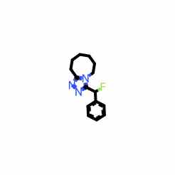 FC(c1ccccc1)c1nnc2n1CCCCCC2